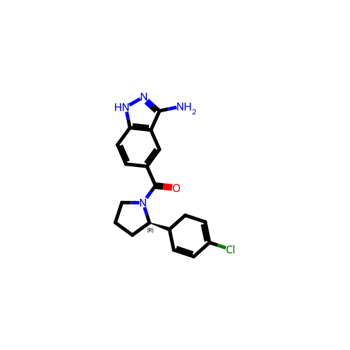 Nc1n[nH]c2ccc(C(=O)N3CCC[C@@H]3C3C=CC(Cl)=CC3)cc12